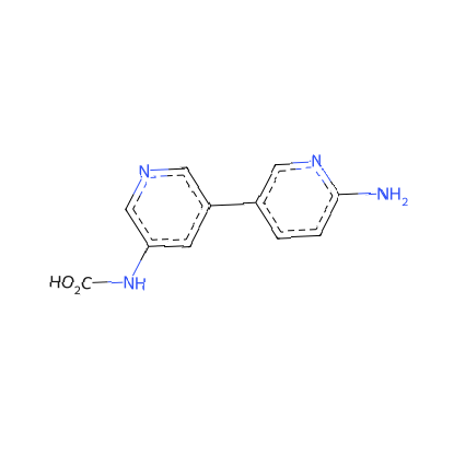 Nc1ccc(-c2cncc(NC(=O)O)c2)cn1